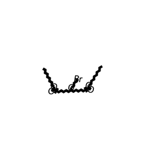 CCCCCCCCCOC(=O)C(C)(C)CCCCCC(CCCCCC(C)(C)C(=O)OCCCCCCCCC)OCCCBr